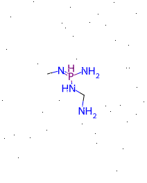 CN=[PH](N)NCN